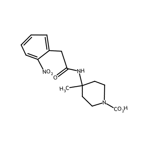 CC1(NC(=O)Cc2ccccc2[N+](=O)[O-])CCN(C(=O)O)CC1